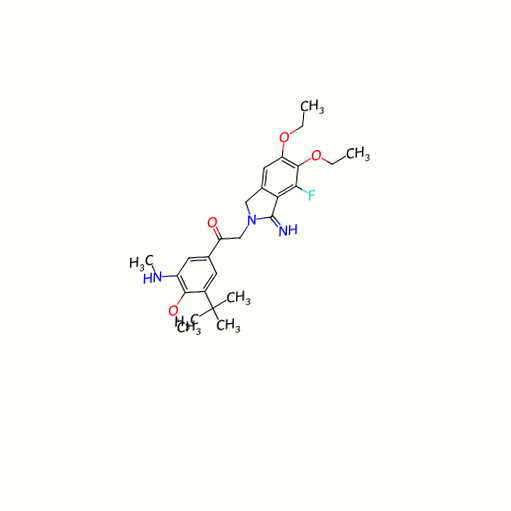 CCOc1cc2c(c(F)c1OCC)C(=N)N(CC(=O)c1cc(NC)c(OC)c(C(C)(C)C)c1)C2